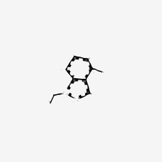 CC(C)(C)Cn1ncc2c(C(=O)O)cccc21